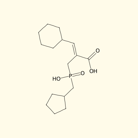 O=C(O)C(=CC1CCCCC1)CP(=O)(O)CC1CCCC1